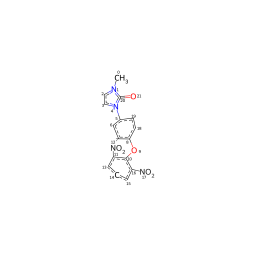 Cn1ccn(-c2ccc(Oc3c([N+](=O)[O-])cccc3[N+](=O)[O-])cc2)c1=O